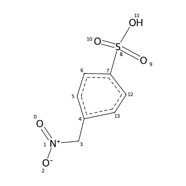 O=[N+]([O-])Cc1ccc(S(=O)(=O)O)cc1